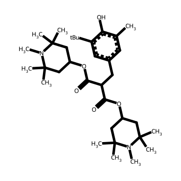 Cc1cc(CC(C(=O)OC2CC(C)(C)N(C)C(C)(C)C2)C(=O)OC2CC(C)(C)N(C)C(C)(C)C2)cc(C(C)(C)C)c1O